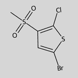 CS(=O)(=O)c1cc(Br)sc1Cl